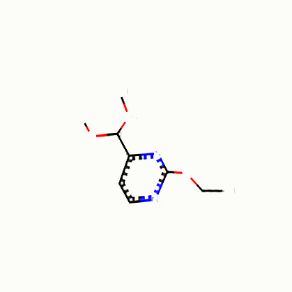 CCOc1nccc(C(OC)OC)n1